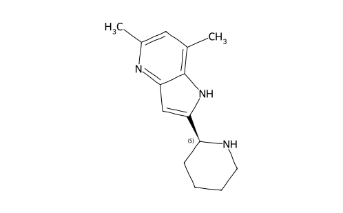 Cc1cc(C)c2[nH]c([C@@H]3CCCCN3)cc2n1